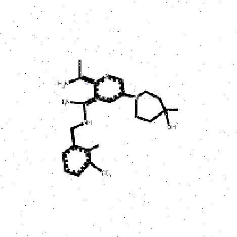 C/C(N)=c1\ncc(N2CCC(C)(O)CC2)c\c1=C(\N)NCc1cccc(C(F)(F)F)c1C